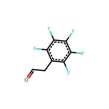 O=[C]Cc1c(F)c(F)c(F)c(F)c1F